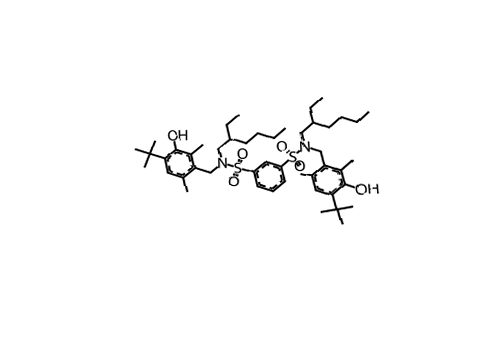 CCCCC(CC)CN(Cc1c(C)cc(C(C)(C)C)c(O)c1C)S(=O)(=O)c1cccc(S(=O)(=O)N(Cc2c(C)cc(C(C)(C)C)c(O)c2C)CC(CC)CCCC)c1